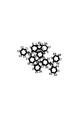 C1=Cc2c(sc3ccc(N(c4ccccc4)c4cccc([Si](c5ccccc5)(c5ccccc5)c5ccc(N(c6ccccc6)c6ccccc6)cc5)c4)cc23)CC1